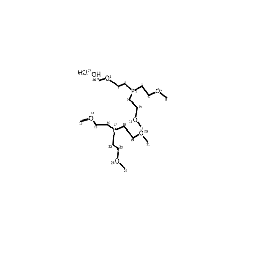 COCCP(CCOC)CCOC.COCCP(CCOC)CCOC.Cl.Cl